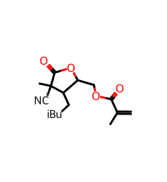 C=C(C)C(=O)OCC1OC(=O)C(C)(C#N)C1CC(C)CC